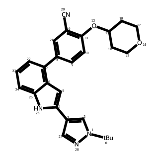 CC(C)(C)n1cc(-c2cc3c(-c4ccc(OC5CCOCC5)c(C#N)c4)cccc3[nH]2)cn1